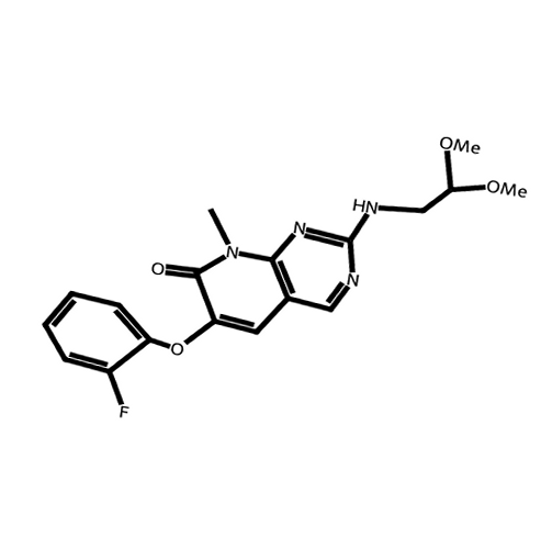 COC(CNc1ncc2cc(Oc3ccccc3F)c(=O)n(C)c2n1)OC